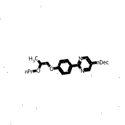 CCCCCCCCCCc1cnc(-c2ccc(OCC(C)OCCC)cc2)nc1